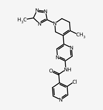 CC1=C(c2cnc(NC(=O)c3ccncc3Cl)cn2)CN(C2=NC(C)N=N2)CC1